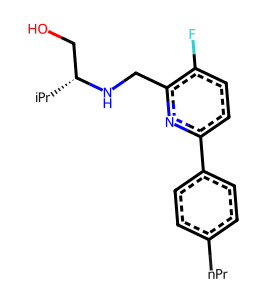 CCCc1ccc(-c2ccc(F)c(CN[C@@H](CO)C(C)C)n2)cc1